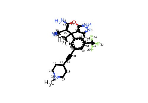 Cc1n[nH]c2c1C(c1cc(C#CC3CCN(C)CC3)cc(C(F)(F)F)c1)(C(C)C)C(C#N)=C(N)O2